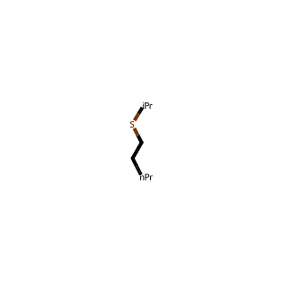 [CH2]CCCCSC(C)C